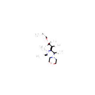 C=CN(CC)/C(=C(/C)C(C)(C)OCNC)C(C)N1CCOCC1